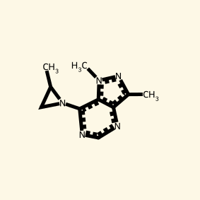 Cc1nn(C)c2c(N3CC3C)ncnc12